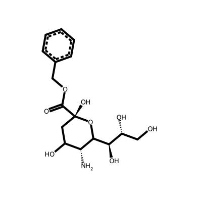 N[C@@H]1C(O)C[C@](O)(C(=O)OCc2ccccc2)OC1[C@H](O)[C@H](O)CO